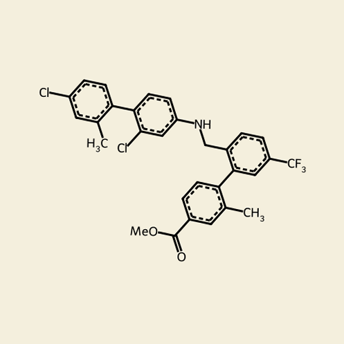 COC(=O)c1ccc(-c2cc(C(F)(F)F)ccc2CNc2ccc(-c3ccc(Cl)cc3C)c(Cl)c2)c(C)c1